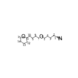 N#CCCCCOCCCCC1CCCCO1